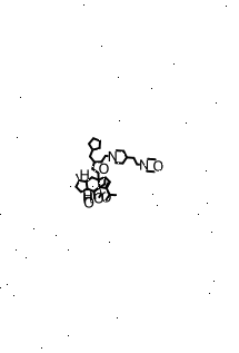 CC(C)C1=CC2CC3(C=O)[C@@H]4CC[C@@H](C)[C@H]4CC2(C2CC(CC4CCCC4)C(CN4CCC(CCN5CCOCC5)CC4)O2)[C@]13C(=O)O